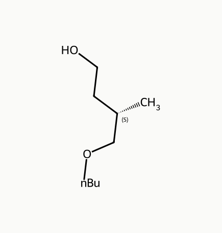 CCCCOC[C@@H](C)CCO